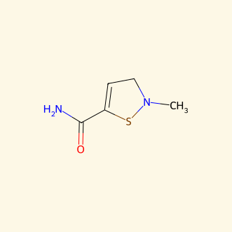 CN1CC=C(C(N)=O)S1